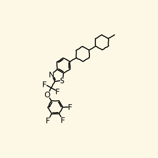 CC1CCC(C2CCC(c3ccc4nc(C(F)(F)Oc5cc(F)c(F)c(F)c5)sc4c3)CC2)CC1